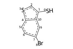 Sc1csc2ccc(Br)cc12